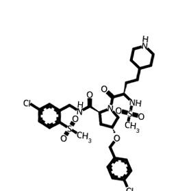 CS(=O)(=O)N[C@H](CCC1CCNCC1)C(=O)N1C[C@H](OCc2ccc(Cl)cc2)C[C@H]1C(=O)NCc1cc(Cl)ccc1S(C)(=O)=O